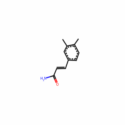 Cc1ccc(C=CC(N)=O)cc1C